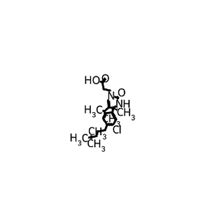 CC(C)C1=CN(CCC(=O)O)C(=O)N[C@]1(C)c1ccc(CCCC(C)(C)C)c(Cl)c1